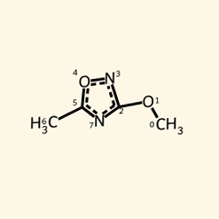 COc1noc(C)n1